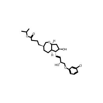 CC(C)OC(=O)CCC[C@@H]1CC[C@@H]2[C@@H](/C=C/[C@@H](O)COc3cccc(Cl)c3)[C@H](O)C[C@@H]2OC1